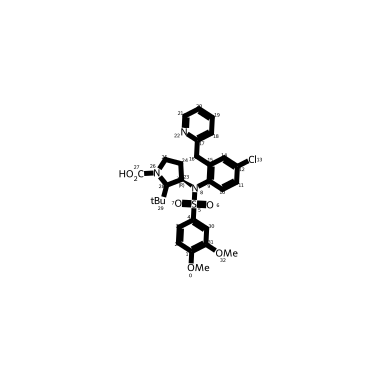 COc1ccc(S(=O)(=O)N(c2ccc(Cl)cc2Cc2ccccn2)[C@@H]2CCN(C(=O)O)C2C(C)(C)C)cc1OC